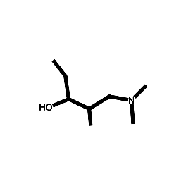 CCC(O)C(C)CN(C)C